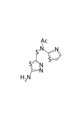 CC(=O)N(Sc1nnc(N)s1)c1nccs1